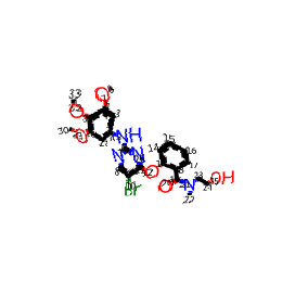 COc1cc(Nc2ncc(Br)c(Oc3ccccc3C(=O)N(C)CCO)n2)cc(OC)c1OC